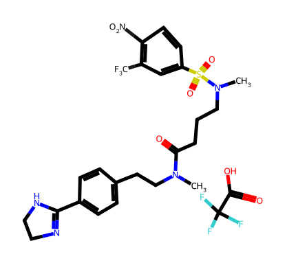 CN(CCc1ccc(C2=NCCN2)cc1)C(=O)CCCN(C)S(=O)(=O)c1ccc([N+](=O)[O-])c(C(F)(F)F)c1.O=C(O)C(F)(F)F